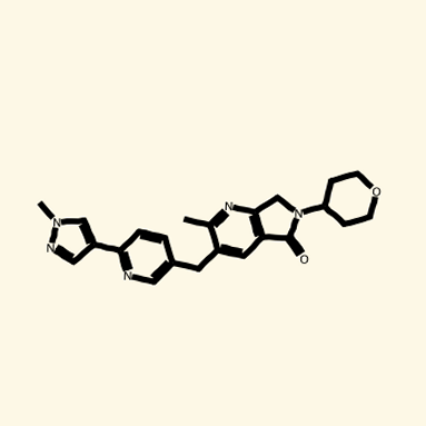 Cc1nc2c(cc1Cc1ccc(-c3cnn(C)c3)nc1)C(=O)N(C1CCOCC1)C2